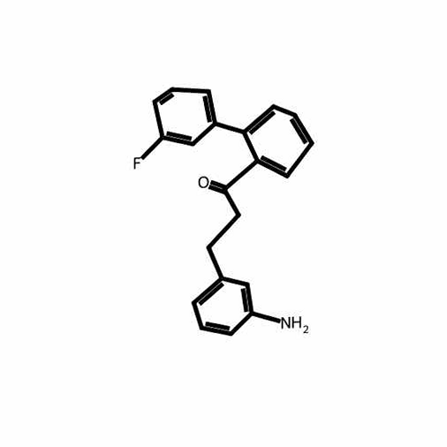 Nc1cccc(CCC(=O)c2ccccc2-c2cccc(F)c2)c1